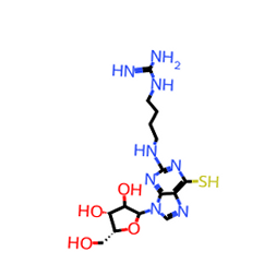 N=C(N)NCCCCNc1nc(S)c2ncn(C3O[C@H](CO)[C@H](O)C3O)c2n1